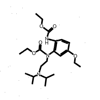 CCOC(=O)Nc1ccc(OCC)cc1N(CCN(C(C)C)C(C)C)C(=O)OCC